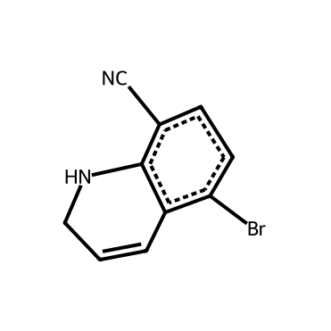 N#Cc1ccc(Br)c2c1NCC=C2